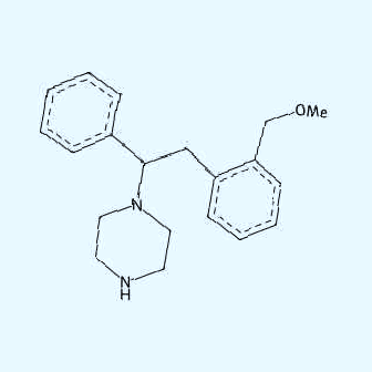 COCc1ccccc1CC(c1ccccc1)N1CCNCC1